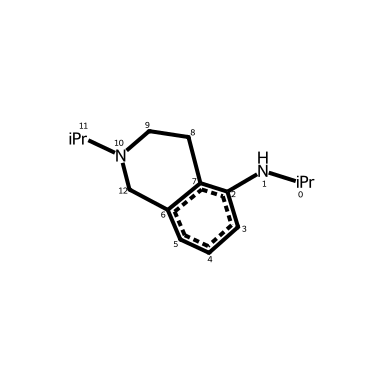 CC(C)Nc1cccc2c1CCN(C(C)C)C2